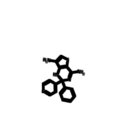 NC1=NC(c2ccccc2)(c2ccncc2)Nc2c(N)csc21